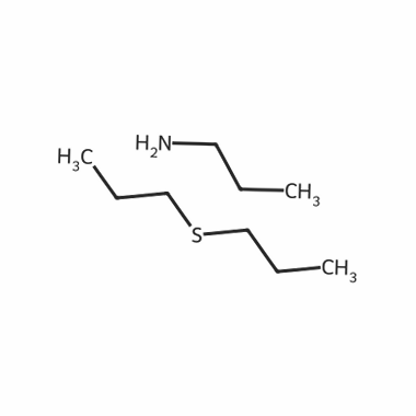 CCCN.CCCSCCC